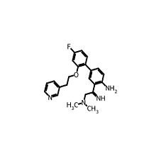 CN(C)CC(=N)c1cc(-c2ccc(F)cc2OCCc2cccnc2)ccc1N